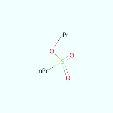 CCCS(=O)(=O)OC(C)C